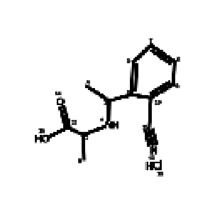 CC(NC(C)c1ccccc1C#N)C(=O)O.Cl